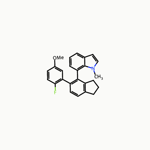 COc1ccc(F)c(-c2ccc3c(c2-c2cccc4ccn(C)c24)CCC3)c1